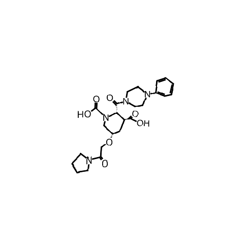 O=C(O)[C@H]1C[C@H](OCC(=O)N2CCCC2)CN(C(=O)O)[C@@H]1C(=O)N1CCN(c2ccccc2)CC1